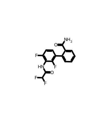 NC(=O)c1ccccc1-c1ccc(F)c(NC(=O)C(F)F)c1F